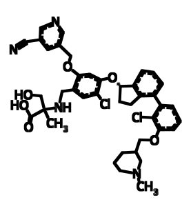 CN1CCCC(COc2cccc(-c3cccc4c3CC[C@@H]4Oc3cc(OCc4cncc(C#N)c4)c(CNC(C)(CO)C(=O)O)cc3Cl)c2Cl)C1